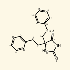 O=C1NC(=O)C(CSc2ccccc2)(CSc2ccccc2)N1